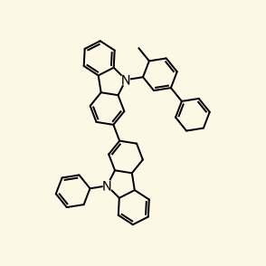 CC1C=CC(C2=CCCC=C2)=CC1N1c2ccccc2C2C=CC(C3=CC4C(CC3)C3C=CC=CC3N4C3C=CC=CC3)=CC21